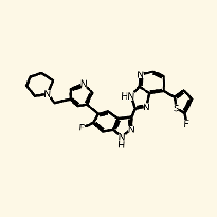 Fc1ccc(-c2ccnc3[nH]c(-c4n[nH]c5cc(F)c(-c6cncc(CN7CCCCC7)c6)cc45)nc23)s1